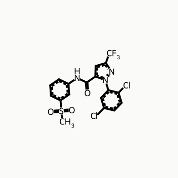 CS(=O)(=O)c1cccc(NC(=O)c2cc(C(F)(F)F)nn2-c2cc(Cl)ccc2Cl)c1